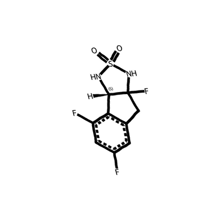 O=S1(=O)N[C@H]2c3c(F)cc(F)cc3CC2(F)N1